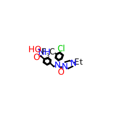 CCN1CCN(C(=O)N(Cc2ccc(C(=O)NO)cc2)c2ccc(Cl)c(C(F)(F)F)c2)CC1